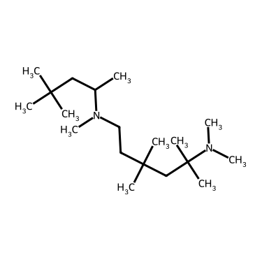 CC(CC(C)(C)C)N(C)CCC(C)(C)CC(C)(C)N(C)C